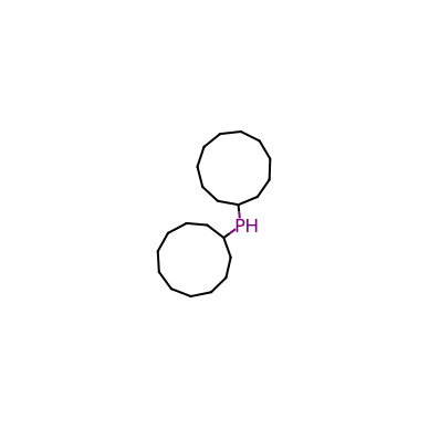 C1CCCCCC(PC2CCCCCCCCCC2)CCCC1